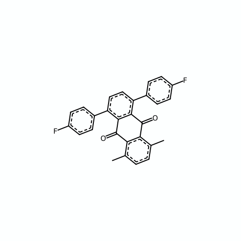 Cc1ccc(C)c2c1C(=O)c1c(-c3ccc(F)cc3)ccc(-c3ccc(F)cc3)c1C2=O